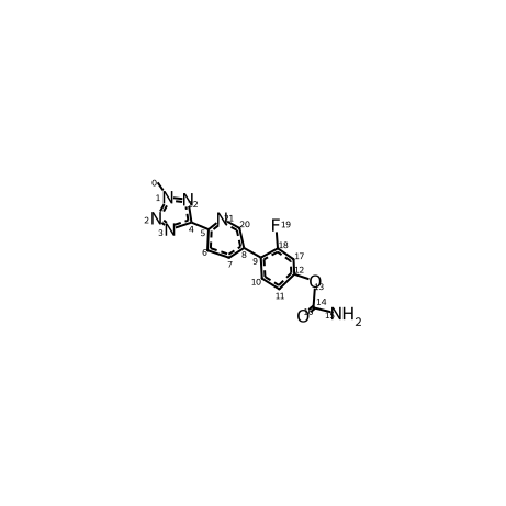 Cn1nnc(-c2ccc(-c3ccc(OC(N)=O)cc3F)cn2)n1